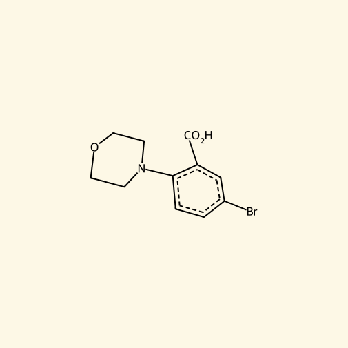 O=C(O)c1cc(Br)ccc1N1CCOCC1